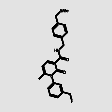 CSCc1ccc(CNC(=O)c2ccc(C)n(-c3cccc(CF)c3)c2=O)cc1